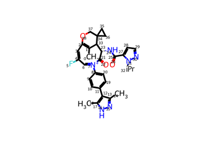 CC1=C2/C=C(F)\C=[N+](\c3ccc(-c4c(C)n[nH]c4C)cc3)C(=O)[C@@H](NC(=O)c3ccnn3C(C)C)C1C1(CC1)CO2